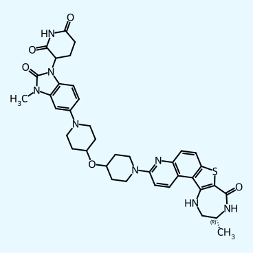 C[C@@H]1CNc2c(sc3ccc4nc(N5CCC(OC6CCN(c7ccc8c(c7)n(C)c(=O)n8C7CCC(=O)NC7=O)CC6)CC5)ccc4c23)C(=O)N1